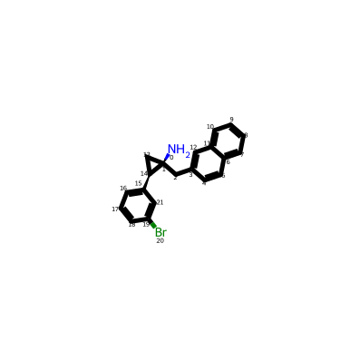 N[C@]1(Cc2ccc3ccccc3c2)C[C@@H]1c1cccc(Br)c1